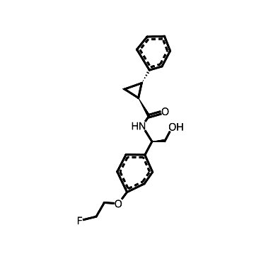 O=C(N[C@@H](CO)c1ccc(OCCF)cc1)[C@H]1C[C@@H]1c1ccccc1